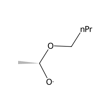 CCCCO[C@@H](C)[O]